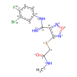 CNC(=O)CSc1nonc1C(=N)Nc1ccc(F)c(Br)c1